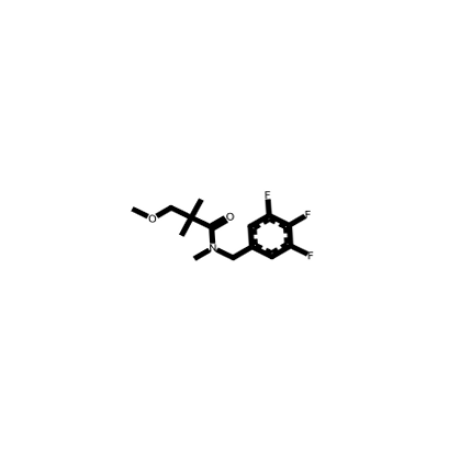 COCC(C)(C)C(=O)N(C)Cc1cc(F)c(F)c(F)c1